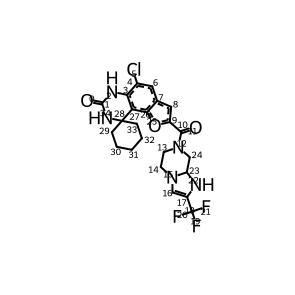 O=C1Nc2c(Cl)cc3cc(C(=O)N4CCN5C=C(C(F)(F)F)NC5C4)oc3c2C2(CCCCC2)N1